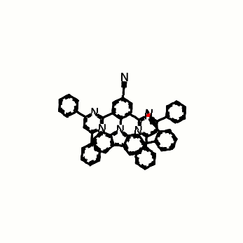 N#Cc1cc(-c2nc(-c3ccccc3)cc(-c3ccccc3)n2)c(-n2c3ccccc3c3ccc(-c4ccccc4C#N)cc32)c(-c2nc(-c3ccccc3)cc(-c3ccccc3)n2)c1